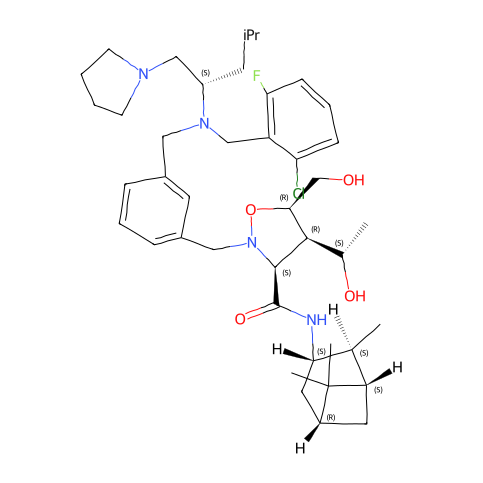 CC(C)C[C@@H](CN1CCCC1)N(Cc1cccc(CN2O[C@@H](CO)[C@@H]([C@H](C)O)[C@H]2C(=O)N[C@H]2C[C@H]3C[C@@H]([C@@H]2C)C3(C)C)c1)Cc1c(F)cccc1Cl